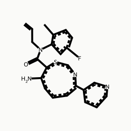 C=CCN(C(=O)c1scnc(-c2cccnc2)cccc1N)c1cc(F)ccc1C